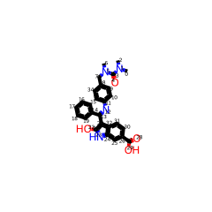 CN(C)C(=O)N(C)Cc1ccc(N=C(c2ccccc2)c2c(O)[nH]c3cc(C(=O)O)ccc23)cc1